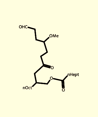 CCCCCCCCC(COC(=O)CCCCCCC)CC(=O)CCC(CCC=O)OC